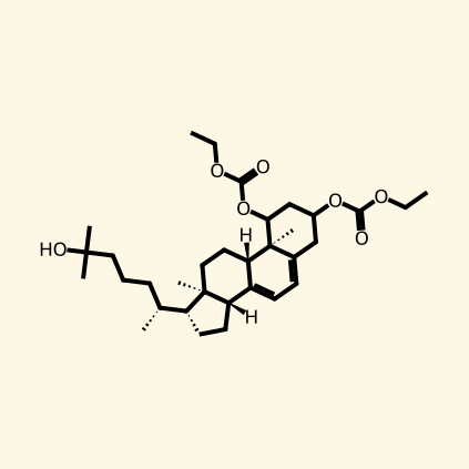 CCOC(=O)OC1CC2=CC=C3[C@@H]4CC[C@H]([C@H](C)CCCC(C)(C)O)[C@@]4(C)CC[C@@H]3[C@@]2(C)C(OC(=O)OCC)C1